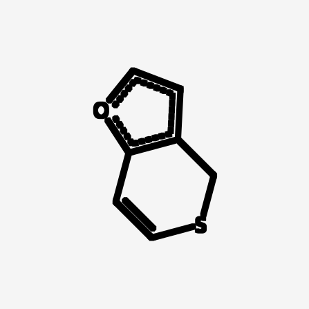 C1=Cc2occc2CS1